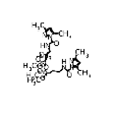 CO[Si](CCCNC(=O)n1nc(C)cc1C)(OC)O[Si](CCCNC(=O)n1nc(C)cc1C)(OC)OC